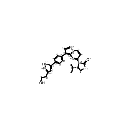 CC(C)[C@H]1COC(=O)N1c1ccn2ncc(-c3ccc(-c4nc(CCO)n[nH]4)cc3)c2n1